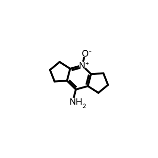 Nc1c2c([n+]([O-])c3c1CCC3)CCC2